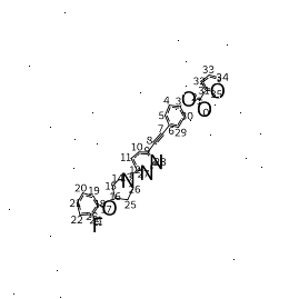 O=C(Oc1ccc(C#Cc2ccc(N3CCC(Oc4ccccc4F)CC3)nn2)cc1)c1ccco1